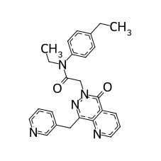 CCc1ccc(N(CC)C(=O)Cn2nc(Cc3cccnc3)c3ncccc3c2=O)cc1